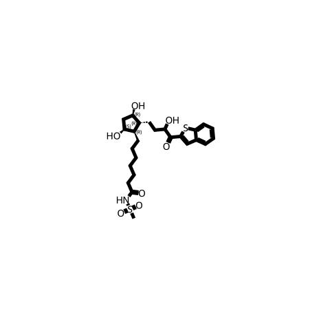 CS(=O)(=O)NC(=O)CCCCCC[C@@H]1[C@@H](CCC(O)C(=O)c2cc3ccccc3s2)[C@H](O)C[C@@H]1O